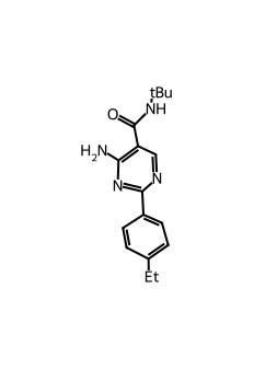 CCc1ccc(-c2ncc(C(=O)NC(C)(C)C)c(N)n2)cc1